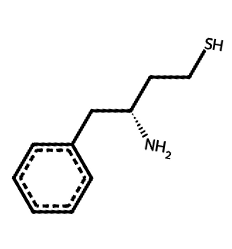 N[C@@H](CCS)Cc1ccccc1